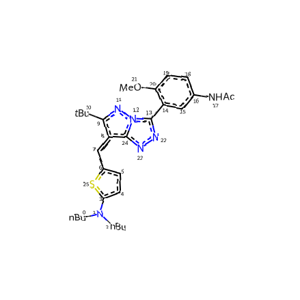 CCCCN(CCCC)c1ccc(/C=c2/c(C(C)(C)C)nn3c(-c4cc(NC(C)=O)ccc4OC)nnc23)s1